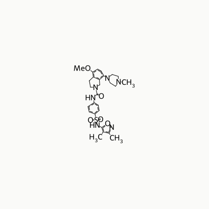 COc1ccc(N2CCN(C)CC2)c2c1CCN(C(=O)Nc1ccc(S(=O)(=O)Nc3onc(C)c3C)cc1)C2